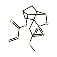 C=CC(=O)OC1C2CC3C1OS(=O)(=O)C3(CC(=O)OC)C2